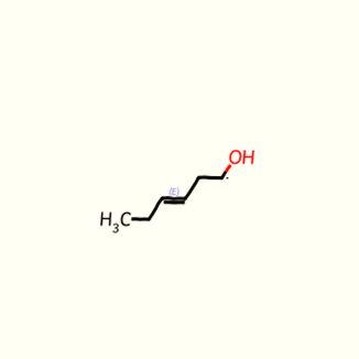 CC/C=C/C[CH]O